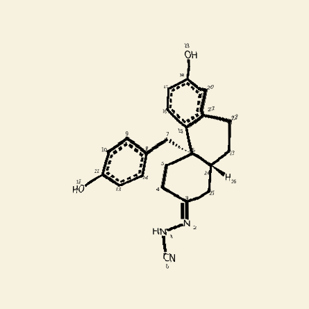 N#CNN=C1CC[C@@]2(Cc3ccc(O)cc3)c3ccc(O)cc3CC[C@@H]2C1